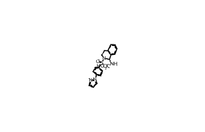 O=C(O)N[C@@H]1c2ccccc2CCN1S(=O)(=O)c1ccc(-n2cccn2)cc1